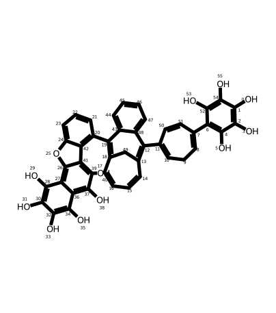 Oc1c(O)c(O)c(C2=CCC=C(C3=C4C=CC=CC(=C(c5cccc6oc7c8c(O)c(O)c(O)c(O)c8c(O)c(O)c7c56)c5ccccc53)C4)C=C2)c(O)c1O